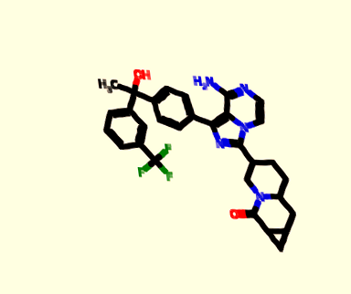 CC(O)(c1ccc(-c2nc(C3CCC4CC5CC5C(=O)N4C3)n3ccnc(N)c23)cc1)c1cccc(C(F)(F)F)c1